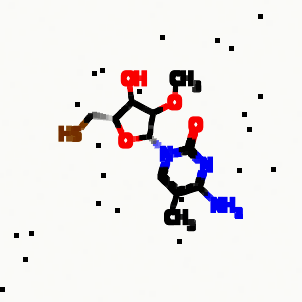 COC1C(O)[C@@H](CS)O[C@H]1n1cc(C)c(N)nc1=O